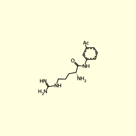 CC(=O)c1cccc(NC(=O)[C@H](N)CCCNC(=N)N)c1